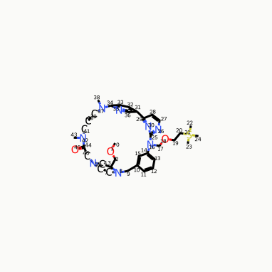 COCC1CN2CCN1Cc1cccc(c1)N(COCCS(C)(C)C)c1nccc(n1)-c1ccc(nc1)N(C)CCCN(C)C(=O)C2